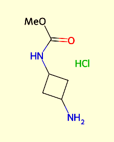 COC(=O)NC1CC(N)C1.Cl